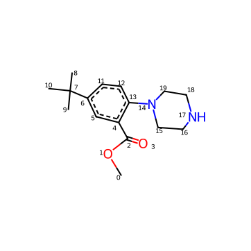 COC(=O)c1cc(C(C)(C)C)ccc1N1CCNCC1